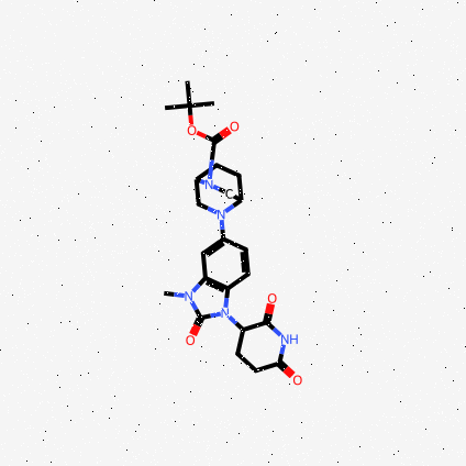 Cn1c(=O)n(C2CCC(=O)NC2=O)c2ccc(N3CC4CCC3CN4C(=O)OC(C)(C)C)cc21